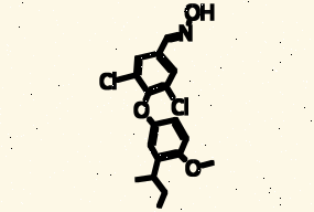 CCC(C)c1cc(Oc2c(Cl)cc(C=NO)cc2Cl)ccc1OC